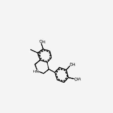 Cc1c(O)ccc2c1CNCC2c1ccc(O)c(O)c1